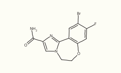 NC(=O)c1cn2c(n1)-c1cc(Br)c(F)cc1OCC2